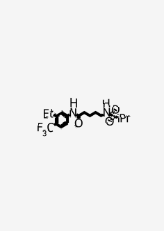 CCc1cc(NC(=O)CCCCNS(=O)(=O)C(C)C)ccc1C(F)(F)F